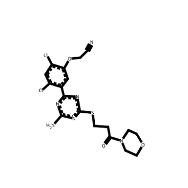 N#CCOc1cc(-c2nc(N)nc(SCCC(=O)N3CCOCC3)n2)c(Cl)cc1Cl